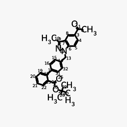 CC(=O)c1ccc2c(c1)c(C)nn2Cc1ccc(-c2ccccc2C(=O)OC(C)(C)C)cc1